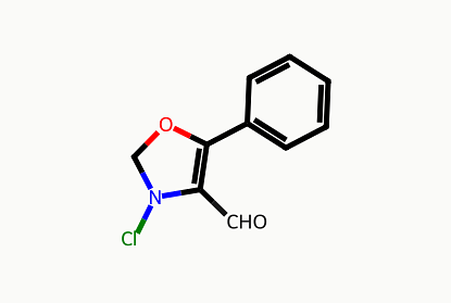 O=CC1=C(c2ccccc2)OCN1Cl